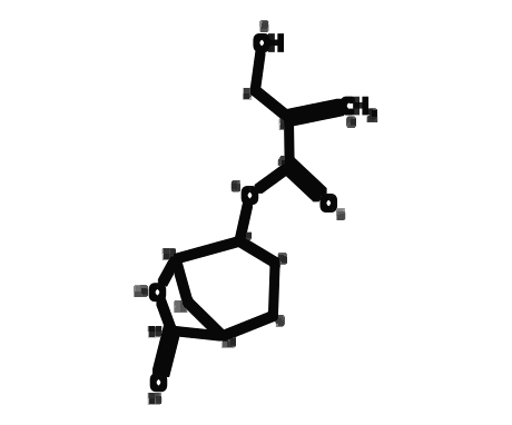 C=C(CO)C(=O)OC1CCC2CC1OC2=O